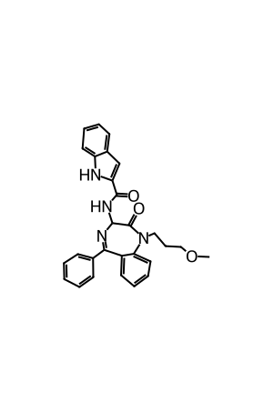 COCCCN1C(=O)C(NC(=O)c2cc3ccccc3[nH]2)N=C(c2ccccc2)c2ccccc21